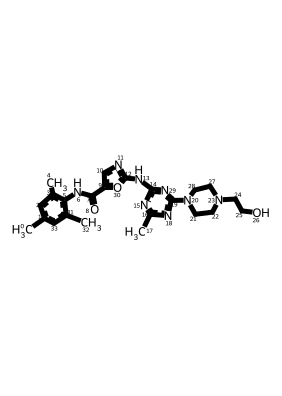 Cc1cc(C)c(NC(=O)c2cnc(Nc3nc(C)nc(N4CCN(CCO)CC4)n3)o2)c(C)c1